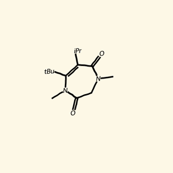 CC(C)C1=C(C(C)(C)C)N(C)C(=O)CN(C)C1=O